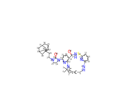 CC1(C)CC2CCCNc3cccc(n3)SNC(=O)c3ccc(N4CCN(CCC56CC7CC(CC(C7)C5)C6)C4=O)nc3N1C2